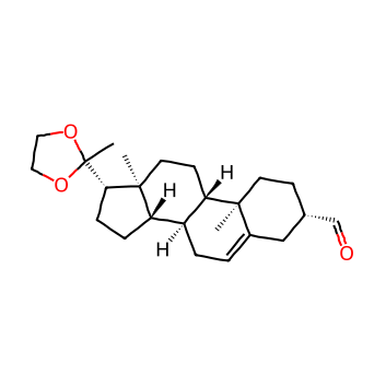 CC1([C@H]2CC[C@H]3[C@@H]4CC=C5C[C@@H](C=O)CC[C@]5(C)[C@H]4CC[C@]23C)OCCO1